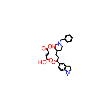 CN1CCc2cc(C(=O)CCC3CCN(Cc4ccccc4)CC3)ccc21.O=C(O)/C=C/C(=O)O